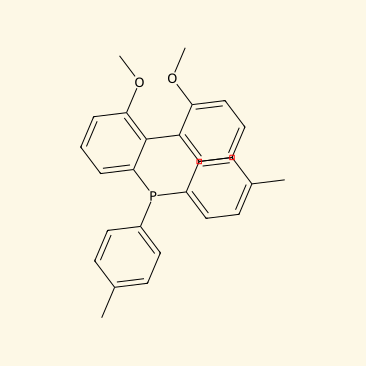 COc1ccccc1-c1c(OC)cccc1P(c1ccc(C)cc1)c1ccc(C)cc1